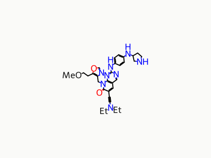 CCN(C#Cc1cc2cnc(Nc3ccc(NC4CCNC4)cc3)nc2n(Cc2ncoc2CCOC)c1=O)CC